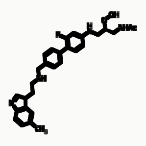 CC(=O)NC[C@@H](CNc1ccc(-c2ccc(CNCCC3C=Nc4ccc(C)cc43)cc2)c(F)c1)OO